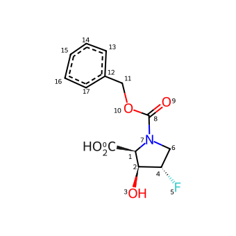 O=C(O)[C@@H]1[C@H](O)[C@@H](F)CN1C(=O)OCc1ccccc1